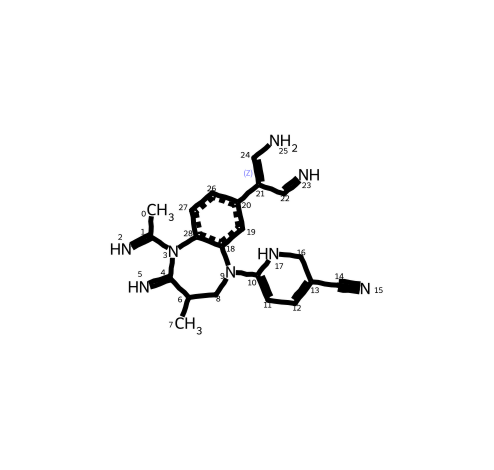 CC(=N)N1C(=N)C(C)CN(C2=CC=C(C#N)CN2)c2cc(/C(C=N)=C/N)ccc21